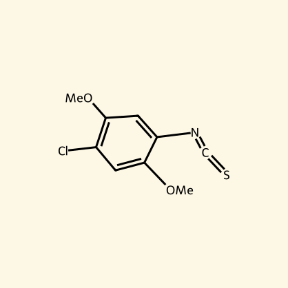 COc1cc(N=C=S)c(OC)cc1Cl